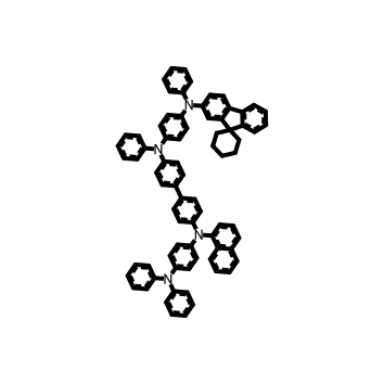 c1ccc(N(c2ccc(-c3ccc(N(c4ccc(N(c5ccccc5)c5ccccc5)cc4)c4cccc5ccccc45)cc3)cc2)c2ccc(N(c3ccccc3)c3ccc4c(c3)C3(CCCCC3)c3ccccc3-4)cc2)cc1